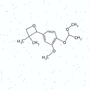 COc1cc(C2OCC2(C)C)ccc1OC(C)OC